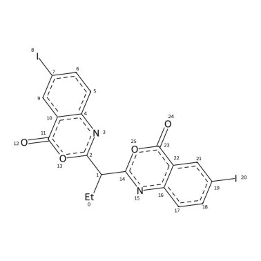 CCC(c1nc2ccc(I)cc2c(=O)o1)c1nc2ccc(I)cc2c(=O)o1